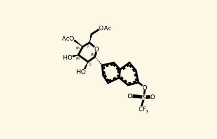 CC(=O)OC[C@H]1O[C@H](c2ccc3cc(OS(=O)(=O)C(F)(F)F)ccc3c2)[C@@H](O)[C@@H](O)[C@H]1OC(C)=O